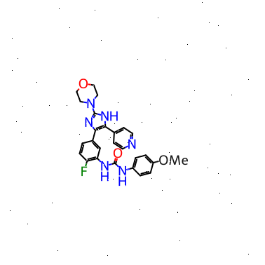 COc1ccc(NC(=O)Nc2cc(-c3nc(N4CCOCC4)[nH]c3-c3ccncc3)ccc2F)cc1